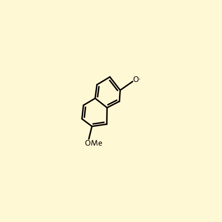 COc1ccc2ccc([O])cc2c1